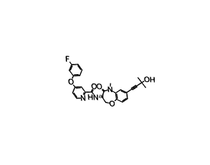 CN1C(=O)[C@@H](NC(=O)c2cc(Oc3cccc(F)c3)ccn2)COc2ccc(C#CC(C)(C)O)cc21